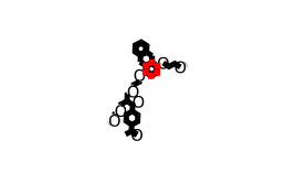 COCCOc1ccc(OCCOCC(COCOC)C(=O)C2CCC(C(C)=O)CC2)c2c1C1c3ccccc3C2c2ccccc21